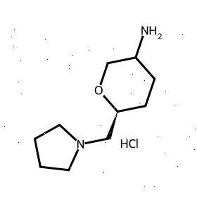 Cl.NC1CC[C@@H](CN2CCCC2)OC1